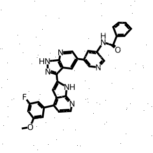 COc1cc(F)cc(-c2ccnc3[nH]c(-c4n[nH]c5ncc(-c6cncc(NC(=O)c7ccccc7)c6)cc45)cc23)c1